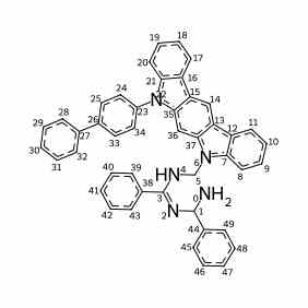 NC(/N=C(\NCn1c2ccccc2c2cc3c4ccccc4n(-c4ccc(-c5ccccc5)cc4)c3cc21)c1ccccc1)c1ccccc1